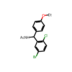 CCOc1ccc(C(NC(C)=O)c2cc(Br)ccc2Cl)cc1